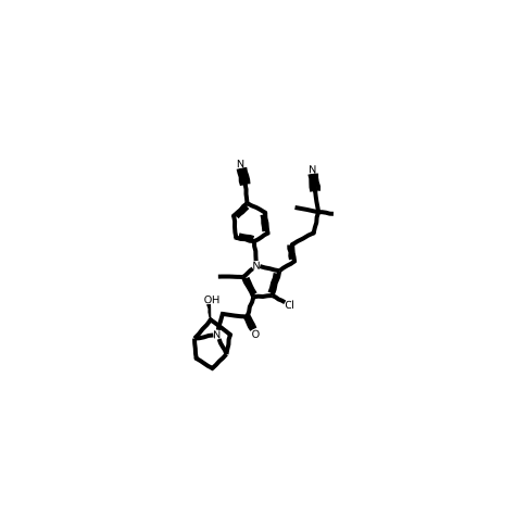 Cc1c(C(=O)CN2C3CCC2[C@@H](O)C3)c(Cl)c(/C=C/CC(C)(C)C#N)n1-c1ccc(C#N)cc1